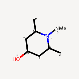 CNN1C(C)CC(O)CC1C